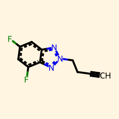 C#CCCn1nc2cc(F)cc(F)c2n1